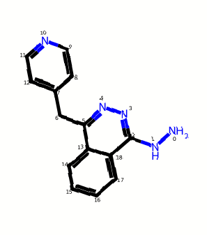 NNc1nnc(Cc2ccncc2)c2ccccc12